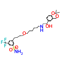 CC1(C)OCc2cc([C@@H](O)CNCCCCCCOCCCCc3cc(C(F)(F)F)cc(S(N)(=O)=O)c3)ccc2O1